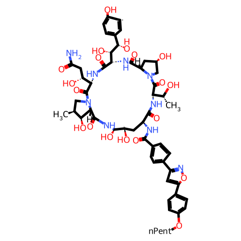 CCCCCOc1ccc(-c2cc(-c3ccc(C(=O)N[C@H]4C[C@@H](O)[C@@H](O)NC(=O)[C@@H]5[C@@H](O)[C@@H](C)CN5C(=O)[C@H]([C@H](O)CC(N)=O)NC(=O)[C@H]([C@H](O)[C@@H](O)c5c[c]c(O)cc5)NC(=O)[C@@H]5C[C@@H](O)CN5C(=O)[C@H]([C@@H](C)O)NC4=O)cc3)no2)cc1